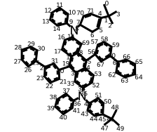 CC(C)(C)C1=CCC(N(c2ccccc2)c2ccc3c(-c4cccc(-c5ccccc5)c4)c4cc(N(c5ccccc5)c5ccc(C(C)(C)C)cc5)ccc4c(-c4cccc(-c5ccccc5)c4)c3c2)C=C1